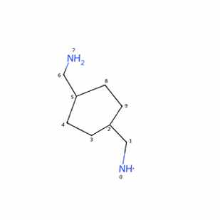 [NH]CC1CCC(CN)CC1